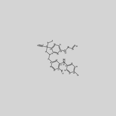 C#CC(CC)(CCCc1ccc(F)c(Nc2ccc(C)cc2)c1)c1ccc(OCC=C)cc1